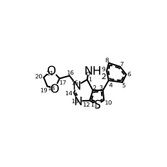 NC1c2c(-c3ccccc3)csc2N=CN1CC1OCCO1